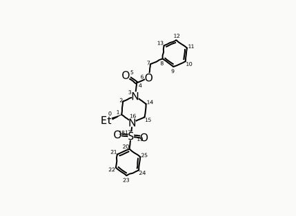 CC[C@H]1CN(C(=O)OCc2ccccc2)CCN1S(=O)(=O)c1ccccc1